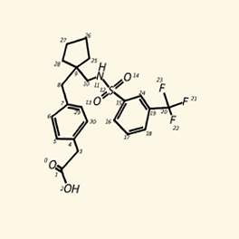 O=C(O)Cc1ccc(CC2(CNS(=O)(=O)c3cccc(C(F)(F)F)c3)CCCC2)cc1